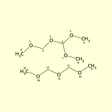 COCOC(OC)OC.COCOCOC